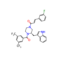 O=C(/C=C/c1cccc(F)c1)N1CCN(C(=O)c2cc(C(F)(F)F)cc(C(F)(F)F)c2)[C@H](Cc2c[nH]c3ccccc23)C1